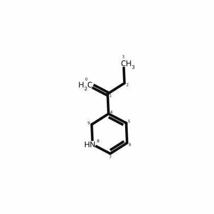 C=C(CC)C1=CC=CNC1